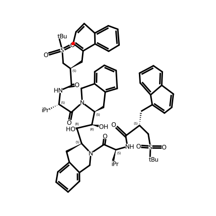 CC(C)[C@H](NC(=O)[C@H](Cc1cccc2ccccc12)CS(=O)(=O)C(C)(C)C)C(=O)N1Cc2ccccc2C[C@H]1[C@@H](O)[C@H](O)[C@@H]1Cc2ccccc2CN1C(=O)[C@@H](NC(=O)[C@H](Cc1cccc2ccccc12)CS(=O)(=O)C(C)(C)C)C(C)C